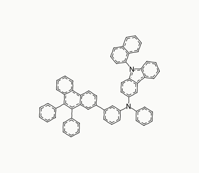 c1ccc(-c2c(-c3ccccc3)c3cc(-c4cccc(N(c5ccccc5)c5ccc6c(c5)c5ccccc5n6-c5cccc6ccccc56)c4)ccc3c3ccccc23)cc1